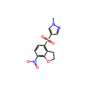 Cn1cc(S(=O)(=O)c2ccc([N+](=O)[O-])c3c2CCO3)cn1